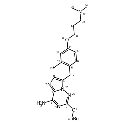 CCCCOc1nc(N)c2ncc(Cc3ccc(OCCCN(C)C)cc3F)n2n1